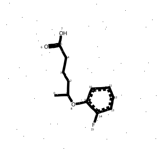 CC(CCCC(=O)O)Oc1ccccc1F